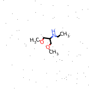 CCNC(COC)COC